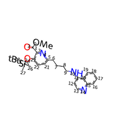 COC(=O)c1nc(CCCCNc2ccnc3ccccc23)ccc1O[Si](C)(C)C(C)(C)C